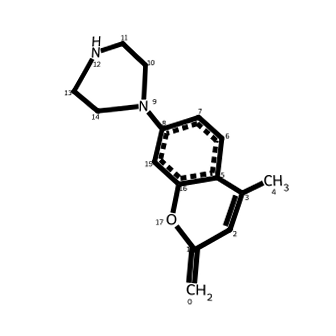 C=C1C=C(C)c2ccc(N3CCNCC3)cc2O1